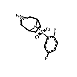 O=S(=O)(c1cc(F)ccc1F)N1C2CCC1CNC2